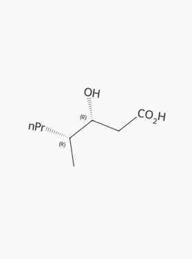 CCC[C@@H](C)[C@H](O)CC(=O)O